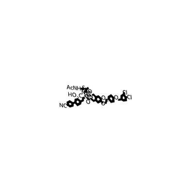 CC(=O)Nc1nc(S(=O)(=O)N2Cc3cc4c(cc3C[C@H]2C(=O)NC(Cc2ccc(-c3ccc(C#N)cc3)cc2)C(=O)O)OC[C@H](c2ccc(OCc3ccc(Cl)c(Cl)c3)cc2)O4)c(C)s1